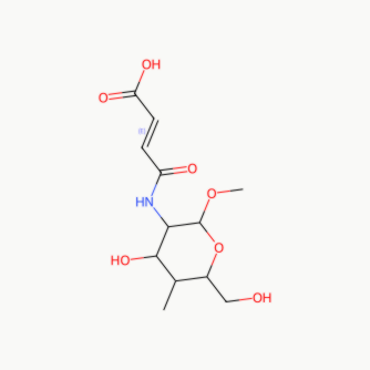 COC1OC(CO)C(C)C(O)C1NC(=O)/C=C/C(=O)O